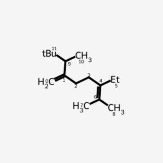 C=C(CCC(CC)=C(C)C)C(C)C(C)(C)C